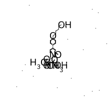 CC(CCn1ccc(-c2ccc(OCCCCO)cc2)cc1=O)(C(=O)NO)S(C)(=O)=O